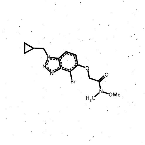 CON(C)C(=O)COc1ccc2c(nnn2CC2CC2)c1Br